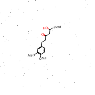 CCCCCC(O)CC(=O)CCc1ccc(OC)c(OC)c1